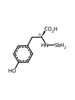 O=C(O)[C@H](Cc1ccc(O)cc1)[NH][SbH2]